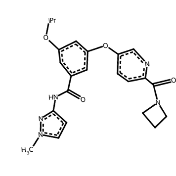 CC(C)Oc1cc(Oc2ccc(C(=O)N3CCC3)nc2)cc(C(=O)Nc2ccn(C)n2)c1